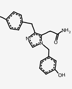 NC(=O)Cc1c(Cc2ccc(F)cc2)ncn1Cc1cccc(O)c1